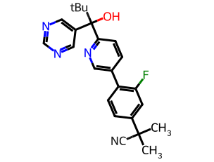 CC(C)(C#N)c1ccc(-c2ccc(C(O)(c3cncnc3)C(C)(C)C)nc2)c(F)c1